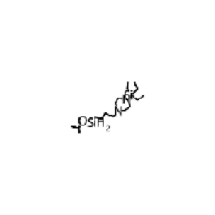 CC[Si](CC)(CC)N1CCN(CCCC[SiH2]OC(C)C)CC1